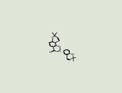 CC1(C)C=Cc2cc([C@@H]3CC(=O)c4ccc5c(c4O3)C=CC(C)(C)O5)ccc2O1